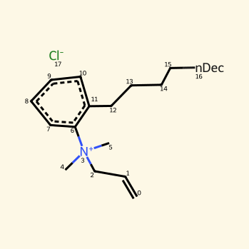 C=CC[N+](C)(C)c1ccccc1CCCCCCCCCCCCCC.[Cl-]